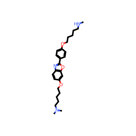 CNCCCCCOc1ccc(-c2nc3ccc(OCCCCCN(C)C)cc3o2)cc1